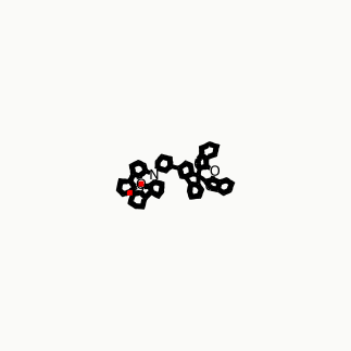 c1cc(-c2ccc3c(c2)-c2ccccc2C32c3ccc4ccccc4c3Oc3c2ccc2ccccc32)cc(N(c2cccc3c2oc2ccccc23)c2cccc3c2sc2ccccc23)c1